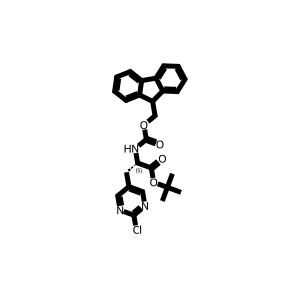 CC(C)(C)OC(=O)[C@H](Cc1cnc(Cl)nc1)NC(=O)OCC1c2ccccc2-c2ccccc21